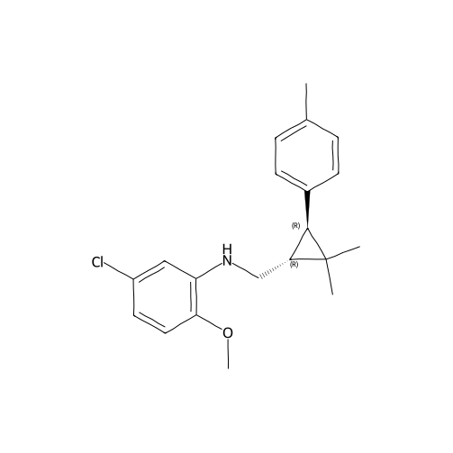 COc1ccc(Cl)cc1NC[C@@H]1[C@@H](c2ccc(C)cc2)C1(C)C